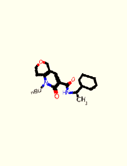 CCCCn1c2c(cc(C(=O)N[C@H](C)C3CCCCC3)c1=O)COCC2